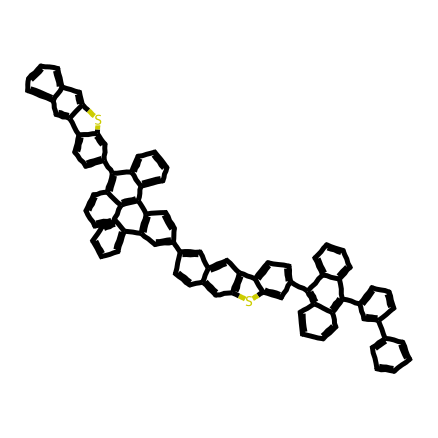 c1ccc(-c2cccc(-c3c4ccccc4c(-c4ccc5c(c4)sc4cc6ccc(-c7ccc(-c8c9ccccc9c(-c9ccc%10c(c9)sc9cc%11ccccc%11cc9%10)c9ccccc89)c(-c8ccccc8)c7)cc6cc45)c4ccccc34)c2)cc1